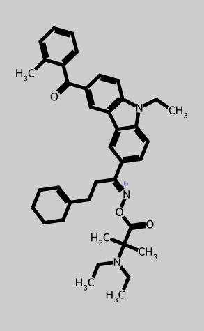 CCN(CC)C(C)(C)C(=O)O/N=C(\CCC1=CCCCC1)c1ccc2c(c1)c1cc(C(=O)c3ccccc3C)ccc1n2CC